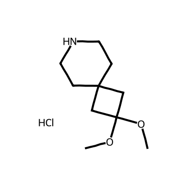 COC1(OC)CC2(CCNCC2)C1.Cl